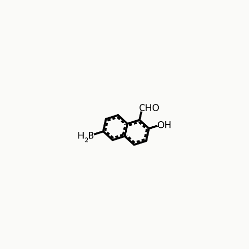 Bc1ccc2c(C=O)c(O)ccc2c1